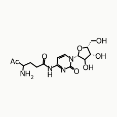 CC(=O)C(N)CCC(=O)Nc1ccn([C@@H]2O[C@H](CO)[C@H](O)C2O)c(=O)n1